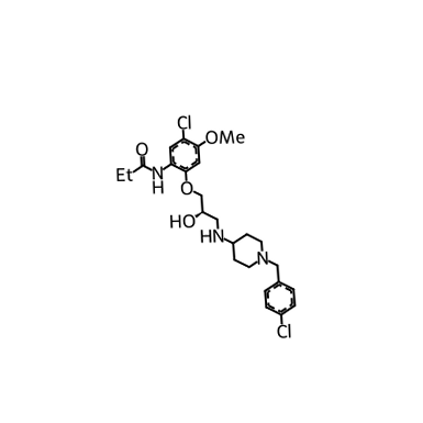 CCC(=O)Nc1cc(Cl)c(OC)cc1OC[C@H](O)CNC1CCN(Cc2ccc(Cl)cc2)CC1